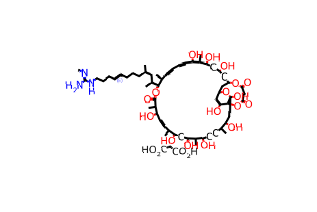 CN=C(N)NCCC/C=C/CCCC(C)CC(C)C1OC(=O)C(C)C(O)C=CC(C)C(O)CC(O)C(C)C(O)CCC(C)C(O)CC2(O)OC3CC(CC(O)CC(O)C(C)C(O)C=CC=CC1C)OC(=O)CC(=O)OC2C(O)C3.O=C(O)CC(=O)O